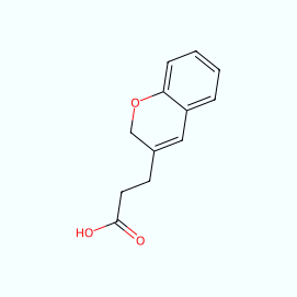 O=C(O)CCC1=Cc2ccccc2OC1